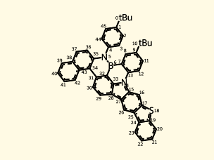 CC(C)(C)c1ccc(N2B3c4cc(C(C)(C)C)ccc4-n4c5cc6sc7ccccc7c6cc5c5ccc(c3c54)-c3c2ccc2ccccc32)cc1